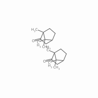 CC12CCC(CC1=O)C2(C)C.CC12CCC(CC1=O)C2(C)C